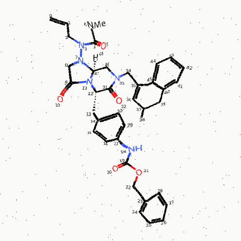 C=CCN(C(=O)NC)N1CC(=O)N2[C@@H](Cc3ccc(NC(=O)OCc4ccccc4)cc3)C(=O)N(CC3=CC(C)Cc4ccccc43)C[C@@H]21